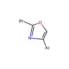 CC(=O)c1coc(C(C)C)n1